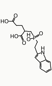 O=C(O)CCC(CP(=O)(O)CCc1cc2ccccc2[nH]1)C(=O)O